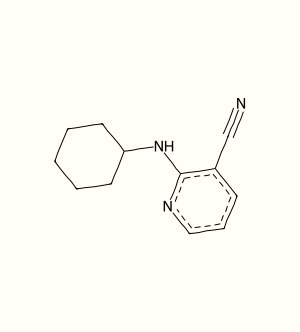 N#Cc1cccnc1NC1CCCCC1